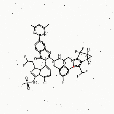 Cc1cc(C)nc(-c2ccc3c(=O)n(C4=CC=C(Cl)C5C(NS(C)(=O)=O)=NN(CC(F)F)C45)c([C@H](Cc4cc(F)cc(F)c4)NC(=O)Cn4nc(C(F)F)c5c4C(F)(F)[C@@H]4C[C@H]54)nc3c2)n1